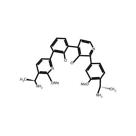 COc1cc(-c2nccc(-c3cccc(-c4ccc([C@H](C)N)c(OC)n4)c3Cl)c2Cl)ccc1[C@H](C)N